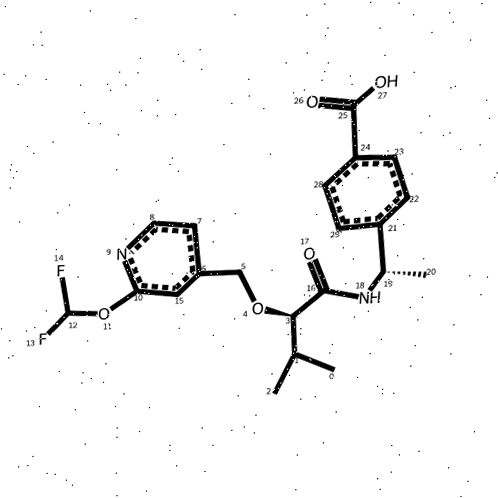 CC(C)[C@@H](OCc1ccnc(OC(F)F)c1)C(=O)N[C@@H](C)c1ccc(C(=O)O)cc1